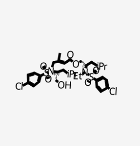 CCN([C@H](COC(=O)C=C(C)CN([C@@H](CO)CC(C)C)S(=O)(=O)c1ccc(Cl)cc1)CC(C)C)S(=O)(=O)c1ccc(Cl)cc1